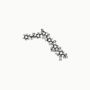 COc1c(NC(=O)c2ccc(NC(=O)c3ccc(NC(=O)C(CC#N)NC(=O)c4ccc(NC(=O)/C(C)=C/c5ccccc5)cc4)cc3)c(OC)c2O)ccc(C(=O)O)c1O